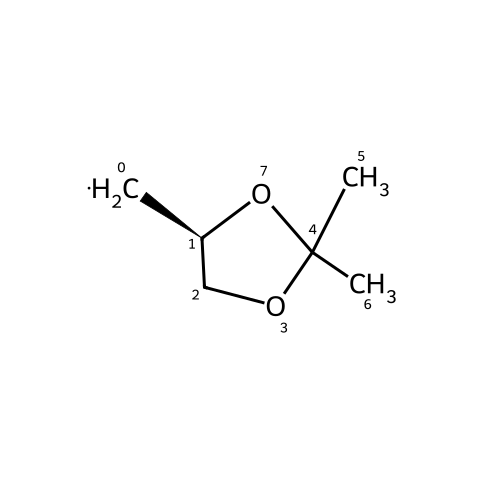 [CH2][C@@H]1COC(C)(C)O1